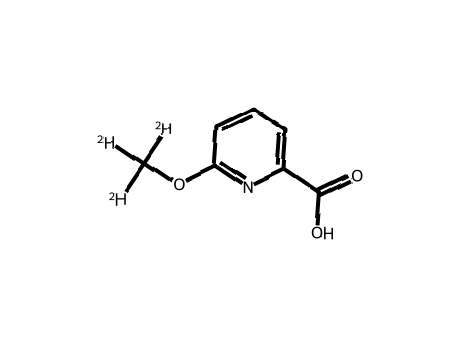 [2H]C([2H])([2H])Oc1cccc(C(=O)O)n1